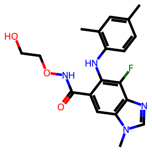 Cc1ccc(Nc2c(C(=O)NOCCO)cc3c(ncn3C)c2F)c(C)c1